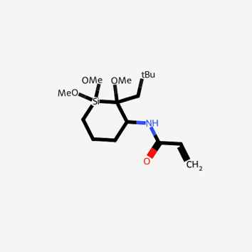 C=CC(=O)NC1CCC[Si](OC)(OC)C1(CC(C)(C)C)OC